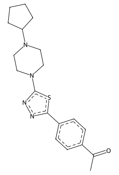 CC(=O)c1ccc(-c2nnc(N3CCN(C4CCCC4)CC3)s2)cc1